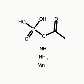 CC(=O)OP(=O)(O)O.N.N.[Mn]